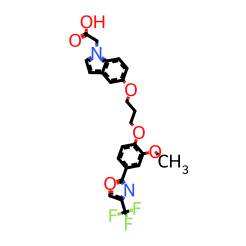 COc1cc(-c2nc(C(F)(F)F)co2)ccc1OCCCOc1ccc2c(ccn2CC(=O)O)c1